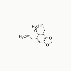 C=CCc1cc2c(c(CO)c1OC)OCO2